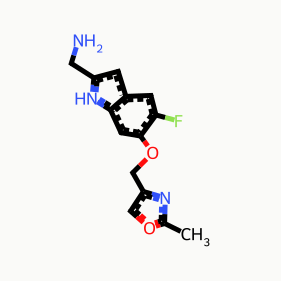 Cc1nc(COc2cc3[nH]c(CN)cc3cc2F)co1